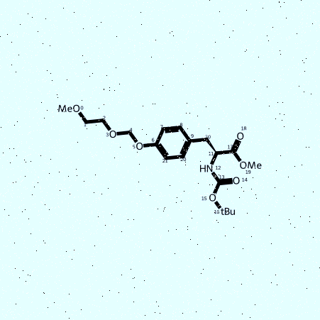 COCCOCOc1ccc(C[C@H](NC(=O)OC(C)(C)C)C(=O)OC)cc1